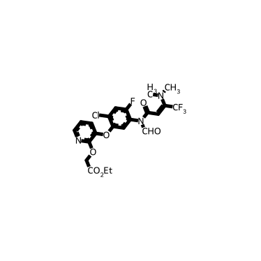 CCOC(=O)COc1ncccc1Oc1cc(N(C=O)C(=O)/C=C(\N(C)C)C(F)(F)F)c(F)cc1Cl